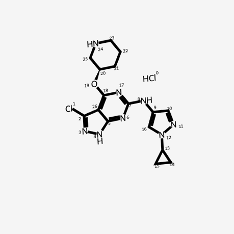 Cl.Clc1n[nH]c2nc(Nc3cnn(C4CC4)c3)nc(O[C@@H]3CCCNC3)c12